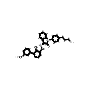 O=C(O)c1cccc(-c2cccc(N/N=C3\C(=O)N(c4ccc(CCCC(F)(F)F)cc4)c4ccccc43)c2O)c1